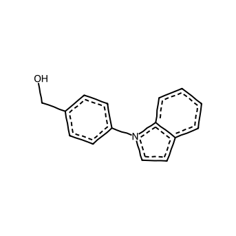 OCc1ccc(-n2ccc3ccccc32)cc1